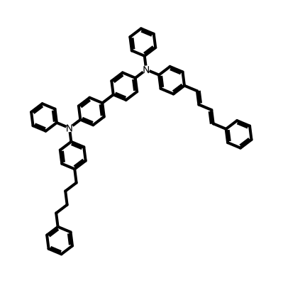 C(/C=C/c1ccc(N(c2ccccc2)c2ccc(-c3ccc(N(c4ccccc4)c4ccc(CCCCc5ccccc5)cc4)cc3)cc2)cc1)=C\c1ccccc1